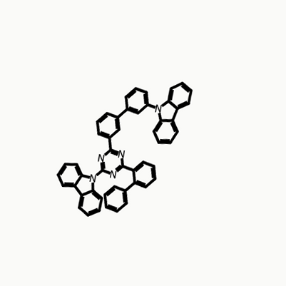 c1ccc(-c2ccccc2-c2nc(-c3cccc(-c4cccc(-n5c6ccccc6c6ccccc65)c4)c3)nc(-n3c4ccccc4c4ccccc43)n2)cc1